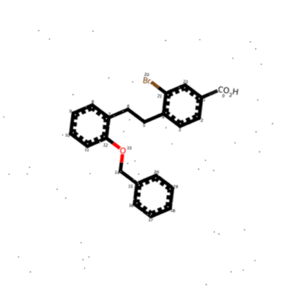 O=C(O)c1ccc(CCc2ccccc2OCc2ccccc2)c(Br)c1